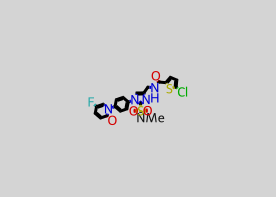 CNS(=O)(=O)c1nc(CNC(=O)c2ccc(Cl)s2)cn1-c1ccc(-n2cc(F)ccc2=O)cc1